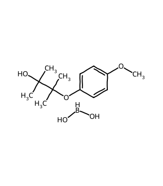 COc1ccc(OC(C)(C)C(C)(C)O)cc1.OBO